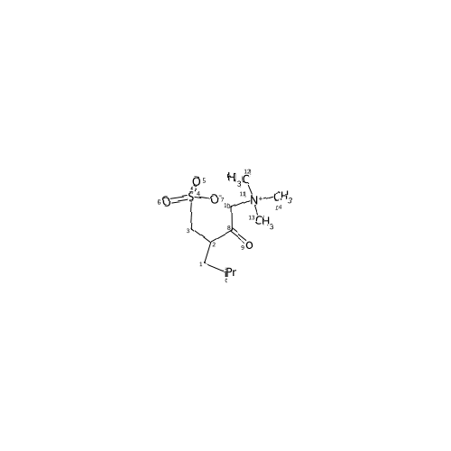 CC(C)CC(CS(=O)(=O)[O-])C(=O)C[N+](C)(C)C